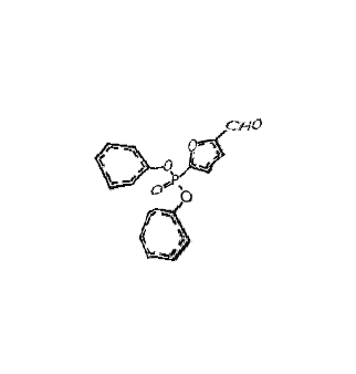 O=Cc1ccc(P(=O)(Oc2ccccc2)Oc2ccccc2)o1